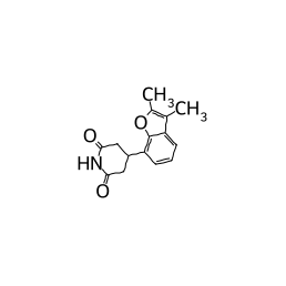 Cc1oc2c(C3CC(=O)NC(=O)C3)cccc2c1C